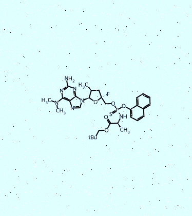 C[C@H](N[P@](=S)(OC[C@]1(F)C[C@H](C)[C@H](n2cnc3c(N(C)C)nc(N)nc32)O1)Oc1cccc2ccccc12)C(=O)OCC(C)(C)C